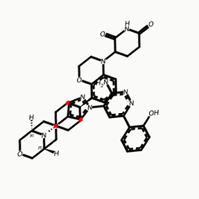 Nc1nnc(-c2ccccc2O)cc1-n1cc(N2C[C@@H]3COC[C@@H](C2)N3[C@H]2CC[C@H](c3cccc4c3OCCN4C3CCC(=O)NC3=O)CC2)cn1